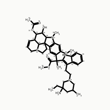 CCC1(N)CC(C)CN(CCc2c(C(C)(C(=O)OC)c3cc4c(cc3OC)N(C)C3C(O)C(OC(C)=O)C5C=CCN6CCC43C56)[nH]c3ccccc23)C1